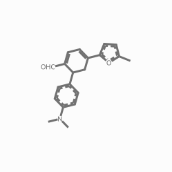 Cc1ccc(C2=CC=C(C=O)C(c3ccc(N(C)C)cc3)C2)o1